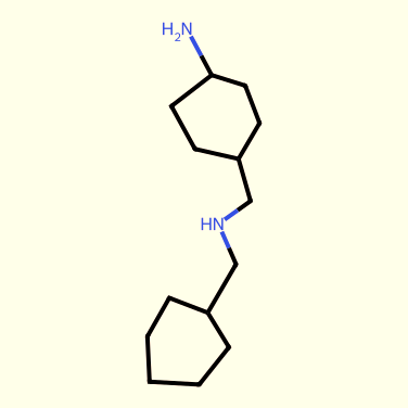 NC1CCC(CNCC2CCCCC2)CC1